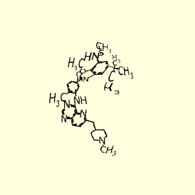 COc1c(NSC)cc(C(C)(C)C)cc1NC(=O)c1ccc(C)c(Nc2ncnc3ccc(CC4CCN(C)CC4)nc23)c1